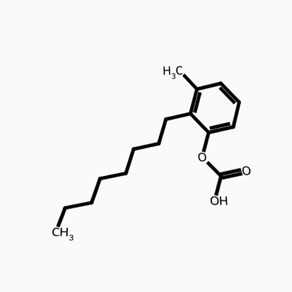 CCCCCCCCc1c(C)cccc1OC(=O)O